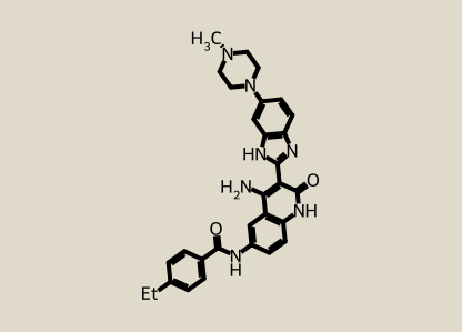 CCc1ccc(C(=O)Nc2ccc3[nH]c(=O)c(-c4nc5ccc(N6CCN(C)CC6)cc5[nH]4)c(N)c3c2)cc1